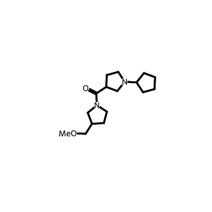 COCC1CCN(C(=O)C2CCN(C3CCCC3)C2)C1